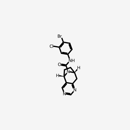 O=C(Nc1ccc(Br)c(Cl)c1)N1[C@@H]2CC[C@H]1c1cncnc1C2